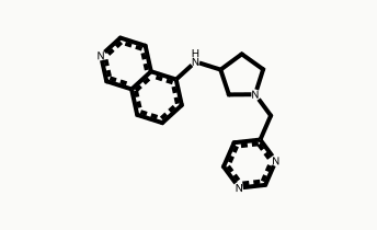 c1cc(NC2CCN(Cc3ccncn3)C2)c2ccncc2c1